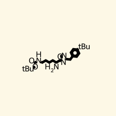 CC(C)(C)OC(=O)NCCCCC(N)c1nc(Cc2ccc(C(C)(C)C)cc2)no1